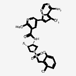 COc1ncc(-c2cc(C(F)(F)F)c3c(N)ncnn23)cc1C(=O)N[C@@H]1CN(S(=O)(=O)Cc2c(Cl)cccc2Cl)C[C@@H]1F